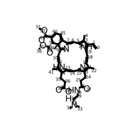 C=Cc1c(C)c2cc3nc(cc4[nH]c(cc5nc(cc1[nH]2)C(C)=C5CCC(=O)NCCN(C)C)c(CCC(=O)O)c4C)[C@@]1(C)C3=CC=C(C(=O)OC)[C@H]1C(=O)OC